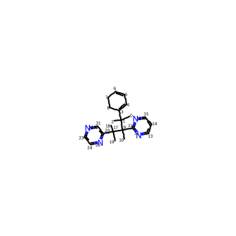 CC(C)(C1=CC=CCC1)C(C)(c1ncccn1)C(C)(C)c1cnccn1